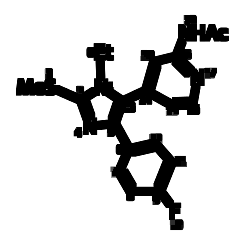 CCn1c(SC)nc(-c2ccc(F)cc2)c1-c1ccnc(NC(C)=O)c1